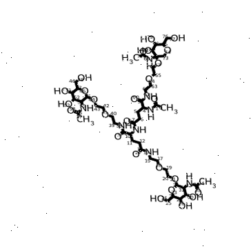 CC(=O)NC(CCC(=O)NC(CCC(=O)NCCOCCOC1OC(CO)C(O)C(O)C1NC(C)=O)C(=O)NCCOCCOC1OC(CO)C(O)C(O)C1NC(C)=O)C(=O)NCCOCCOC1(NC(C)=O)COC(CO)C(O)C1O